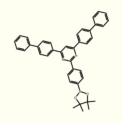 CC1(C)OB(c2ccc(-c3nc(-c4ccc(-c5ccccc5)cc4)cc(-c4ccc(-c5ccccc5)cc4)n3)cc2)OC1(C)C